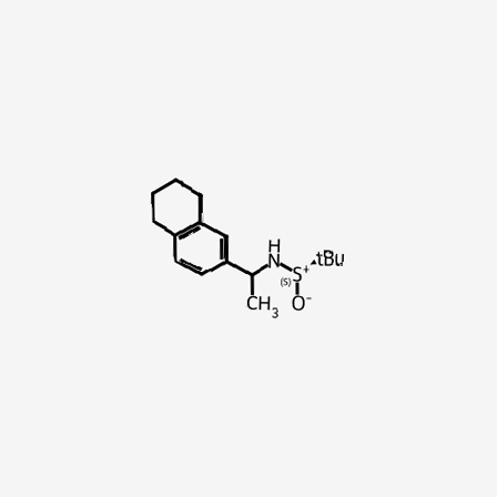 CC(N[S@+]([O-])C(C)(C)C)c1ccc2c(c1)CCCC2